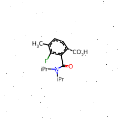 Cc1ccc(C(=O)O)c(C(=O)N(C(C)C)C(C)C)c1F